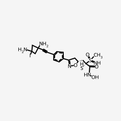 CS(=N)(=O)[C@](S)(C[C@H]1CC(c2ccc(C#CC3(N)CC(N)(I)C3)cc2)=NO1)C(=O)NO